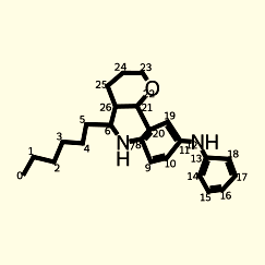 CCCCCCC1Nc2ccc(Nc3ccccc3)cc2C2OCCCC12